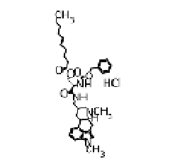 CCCCCCCCCC(=O)OC[C@H](NC(=O)OCc1ccccc1)C(=O)NC[C@@H]1CC2c3cccc4c3c(cn4C)C[C@H]2N(C)C1.Cl